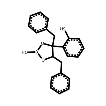 OB1OC(Cc2ccccc2)C(Cc2ccccc2)(c2ccccc2S)O1